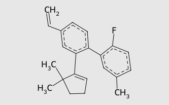 C=Cc1ccc(-c2cc(C)ccc2F)c(C2=CCCC2(C)C)c1